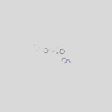 Cc1cc2c(Oc3ccc4c(c3)[C@H](C)N(C(=O)Nc3cnc(OC5CCN(C)CC5C)c(C(F)(F)F)c3)CC4)ccnc2[nH]1